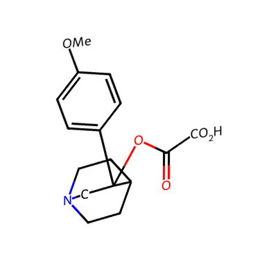 COc1ccc(C2(OC(=O)C(=O)O)CN3CCC2CC3)cc1